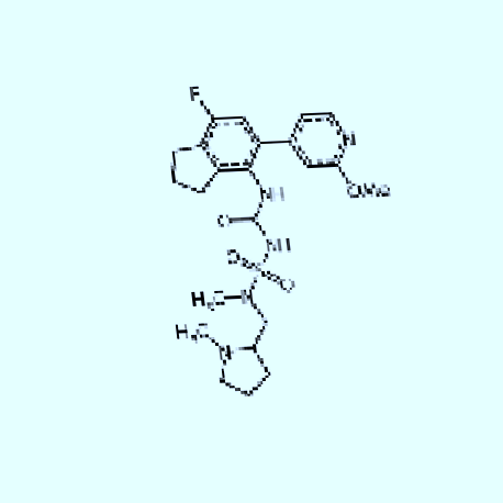 COc1cc(-c2cc(F)c3c(c2NC(=O)NS(=O)(=O)N(C)CC2CCCN2C)CCC3)ccn1